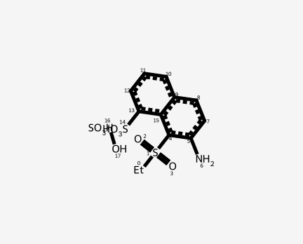 CCS(=O)(=O)c1c(N)ccc2cccc(S(=O)(=O)O)c12.O=S(=O)(O)O